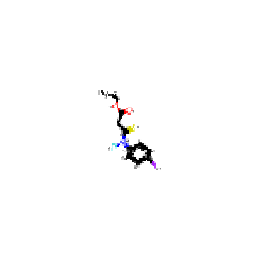 CCOC(=O)CC(=S)N(F)c1ccc(I)cc1